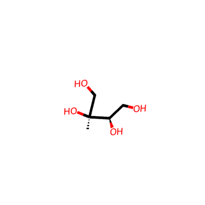 C[C@](O)(CO)[C@H](O)CO